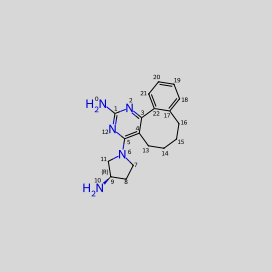 Nc1nc2c(c(N3CC[C@@H](N)C3)n1)CCCCc1ccccc1-2